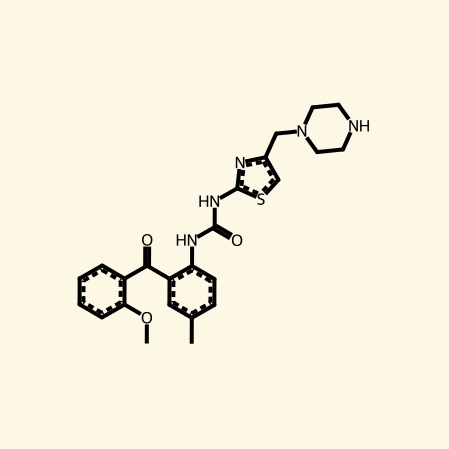 COc1ccccc1C(=O)c1cc(C)ccc1NC(=O)Nc1nc(CN2CCNCC2)cs1